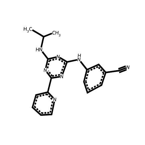 CC(C)Nc1nc(Nc2cccc(C#N)c2)nc(-c2ccccn2)n1